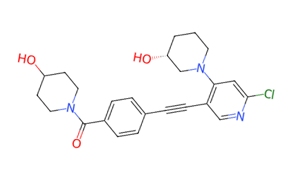 O=C(c1ccc(C#Cc2cnc(Cl)cc2N2CCC[C@@H](O)C2)cc1)N1CCC(O)CC1